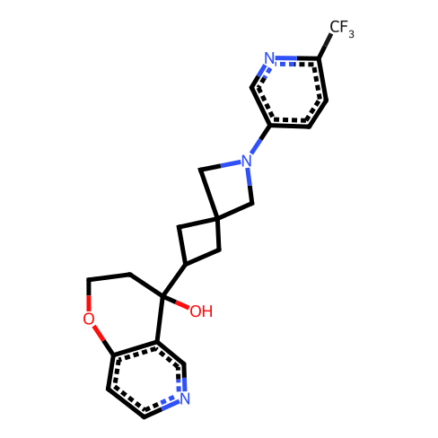 OC1(C2CC3(C2)CN(c2ccc(C(F)(F)F)nc2)C3)CCOc2ccncc21